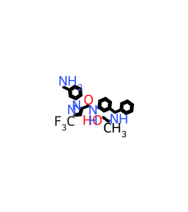 CC(CO)NC(c1ccccc1)c1cccc(NC(=O)c2cc(C(F)(F)F)nn2-c2cccc(CN)c2)c1